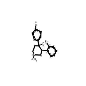 CN1CC[C@](O)(c2ccc(Cl)cc2)[C@@H](c2ccccc2F)C1